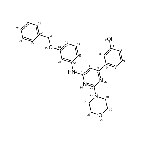 Oc1cccc(-c2cc(Nc3cccc(OCc4ccccc4)c3)nc(N3CCOCC3)n2)c1